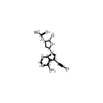 CCC#Cc1cn([C@H]2C[C@H](OC(=O)C(C)(C)C)[C@@H](CC)O2)c2ncnc(N)c12